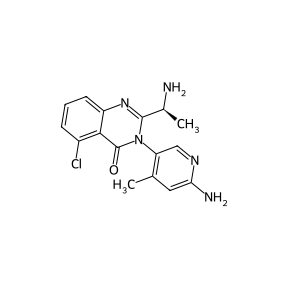 Cc1cc(N)ncc1-n1c([C@H](C)N)nc2cccc(Cl)c2c1=O